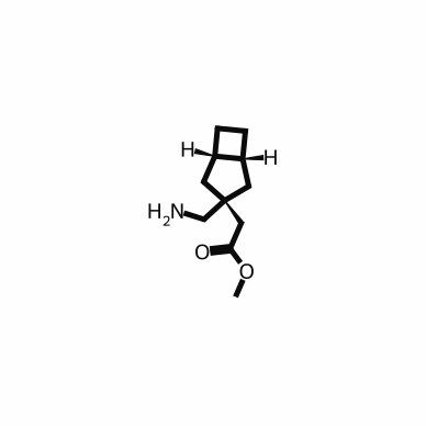 COC(=O)C[C@]1(CN)C[C@H]2CC[C@H]2C1